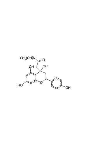 CN(O)C(=O)CC1(O)C=C(c2ccc(O)cc2)Oc2cc(O)cc(O)c21